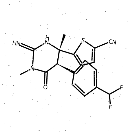 CN1C(=N)N[C@](C)(c2ccc(C#N)s2)[C@@H](c2ccc(C(F)F)cc2)C1=O